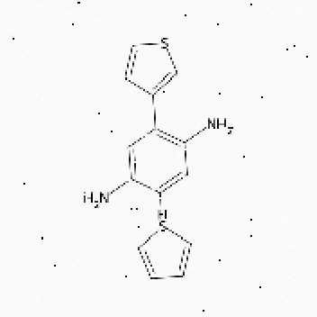 Nc1cc([SH]2C=CC=C2)c(N)cc1-c1ccsc1